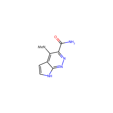 CNc1c(C(N)=O)nnc2[nH]ccc12